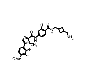 COc1ccc(-c2cnc(C(=O)Nc3ccc(C(=O)NCC4CC(CN)C4)c(Cl)c3)n2C)c(F)c1F